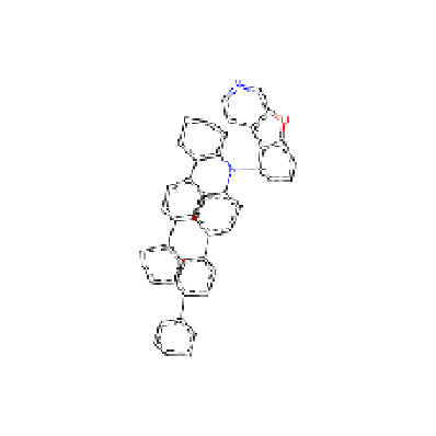 c1ccc(-c2ccc(-c3ccc(N(c4ccccc4-c4ccc(-c5ccccc5)cc4)c4cccc5oc6cnccc6c45)cc3)cc2)cc1